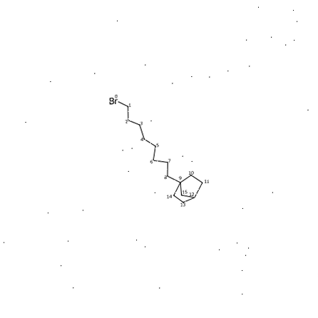 BrCCCCCCCCC12CCC(CC1)C2